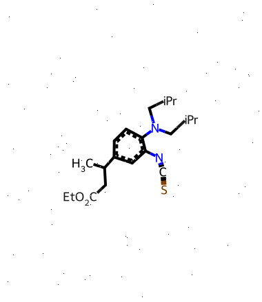 CCOC(=O)CC(C)c1ccc(N(CC(C)C)CC(C)C)c(N=C=S)c1